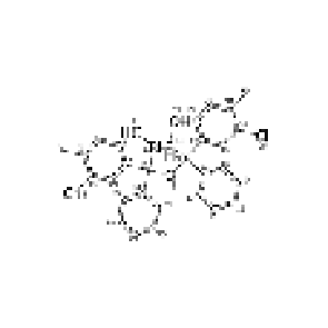 Cc1ccc(C(BO)(OC(BO)(c2ccccc2)c2ccc(C)c(Cl)c2)c2ccccc2)cc1Cl